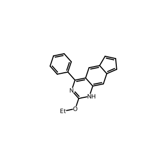 CCOc1nc(-c2ccccc2)c2cc3cccc3cc2[nH]1